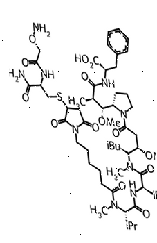 CC[C@H](C)C([C@@H](CC(=O)N1CCC[C@H]1[C@H](OC)[C@@H](C)C(=O)N[C@H](Cc1ccccc1)C(=O)O)OC)N(C)C(=O)[C@H](NC(=O)[C@H](C(C)C)N(C)C(=O)CCCCCN1C(=O)CC(SCC(NC(=O)CON)C(N)=O)C1=O)C(C)C